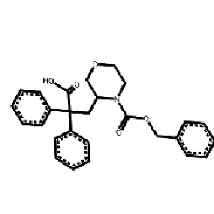 O=C(OCc1ccccc1)N1CCOCC1CC(C(=O)O)(c1ccccc1)c1ccccc1